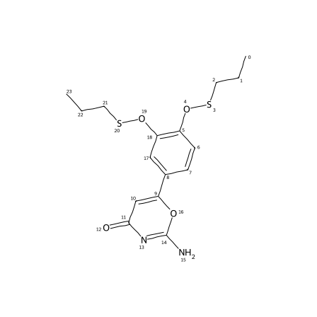 CCCSOc1ccc(-c2cc(=O)nc(N)o2)cc1OSCCC